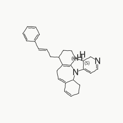 C1=CC2=CCC3=C4[C@H](CCC3CC=Cc3ccccc3)[C@H]3CN=CC=C3N4C2CC1